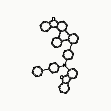 c1ccc(-c2ccc(N(c3ccc(-c4cccc5c6ccc7oc8ccccc8c7c6c6ccccc6c45)cc3)c3cccc4c3oc3ccccc34)cc2)cc1